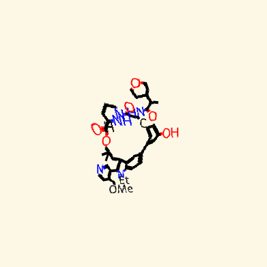 CCn1c(-c2cnccc2COC)c2c3cc(ccc31)-c1cc(O)cc(c1)C[C@H](NC(=O)C(C)C1CCOCC1)C(=O)N1CCC[C@H](N1)C(=O)OCC(C)(C)C2